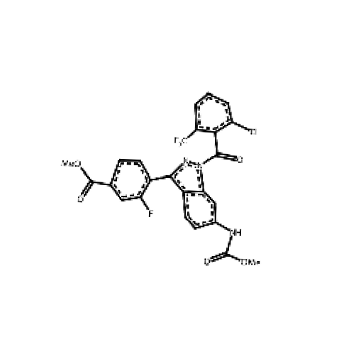 COC(=O)Nc1ccc2c(-c3ccc(C(=O)OC)cc3F)nn(C(=O)c3c(Cl)cccc3C(F)(F)F)c2c1